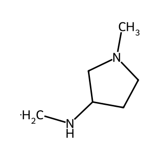 [CH2]NC1CCN(C)C1